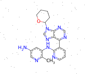 Cc1ncc(N)cc1Nc1ncccc1-c1ncnc2c1ncn2C1CCCCO1